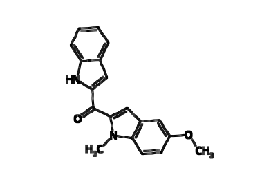 COc1ccc2c(c1)cc(C(=O)c1cc3ccccc3[nH]1)n2C